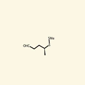 CSS[C@@H](C)CC[C]=O